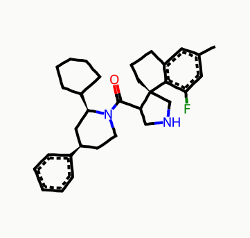 Cc1cc(F)c2c(c1)CCC[C@]21CNCC1C(=O)N1CC[C@@H](c2ccccc2)C[C@H]1C1CCCCC1